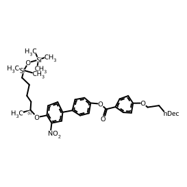 CCCCCCCCCCCCOc1ccc(C(=O)Oc2ccc(-c3ccc(O[C@@H](C)CCCC[Si](C)(C)O[Si](C)(C)C)c([N+](=O)[O-])c3)cc2)cc1